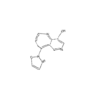 Oc1cncc2c(N3NC=CO3)ccnc12